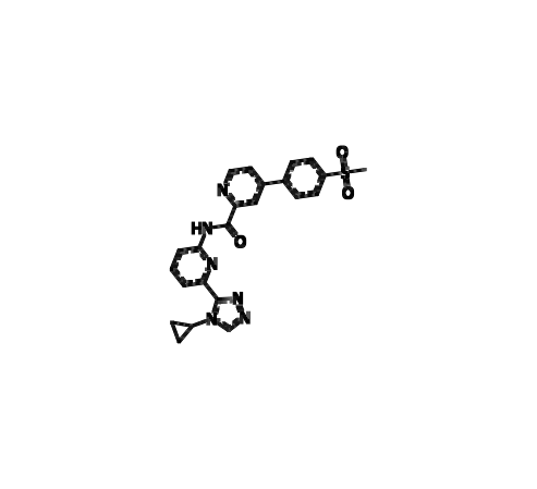 CS(=O)(=O)c1ccc(-c2ccnc(C(=O)Nc3cccc(-c4nncn4C4CC4)n3)c2)cc1